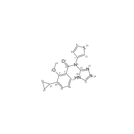 COc1c(C(=O)N(c2ccsc2)c2nnc[nH]2)cccc1C1CC1